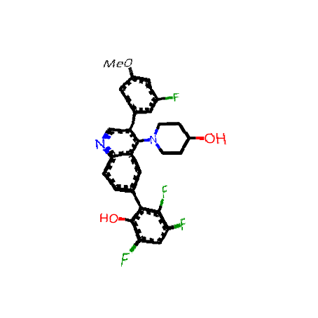 COc1cc(F)cc(-c2cnc3ccc(-c4c(O)c(F)cc(F)c4F)cc3c2N2CCC(O)CC2)c1